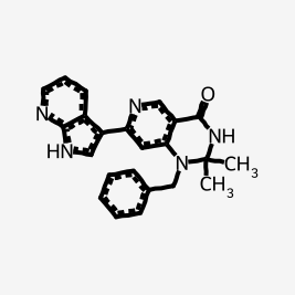 CC1(C)NC(=O)c2cnc(-c3c[nH]c4ncccc34)cc2N1Cc1ccccc1